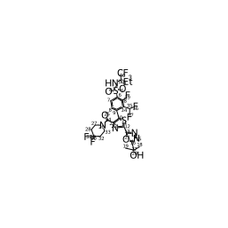 CC[C@H](NS(=O)(=O)c1ccc(-c2sc(-c3nnc(C(C)(C)O)o3)nc2C(=O)N2CCC(F)(F)CC2)c(C(F)F)c1F)C(F)(F)F